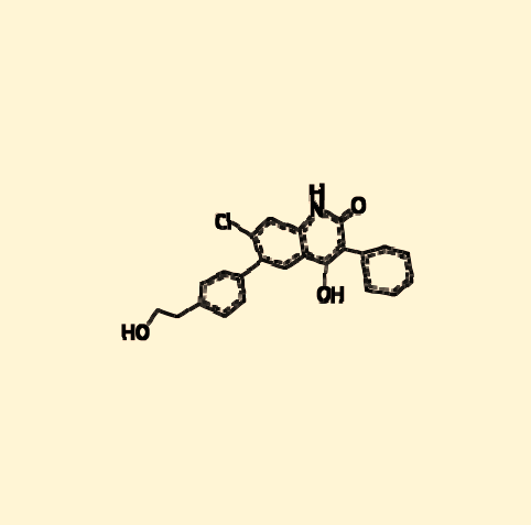 O=c1[nH]c2cc(Cl)c(-c3ccc(CCO)cc3)cc2c(O)c1-c1ccccc1